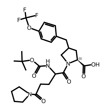 CC(C)(C)OC(=O)NC(CCC(=O)N1CCCC1)C(=O)N1CC(Cc2ccc(OC(F)(F)F)cc2)C[C@H]1C(=O)O